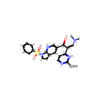 CSc1nccc(/C(=C/N(C)C)C(=O)c2cnc3c(ccn3S(=O)(=O)c3ccccc3)c2)n1